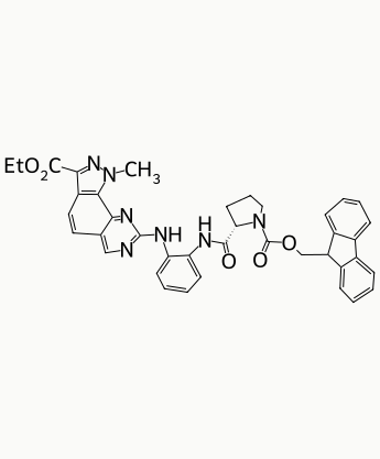 CCOC(=O)c1nn(C)c2c1ccc1cnc(Nc3ccccc3NC(=O)[C@@H]3CCCN3C(=O)OCC3c4ccccc4-c4ccccc43)nc12